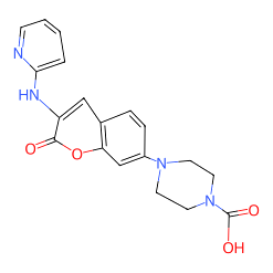 O=C(O)N1CCN(c2ccc3cc(Nc4ccccn4)c(=O)oc3c2)CC1